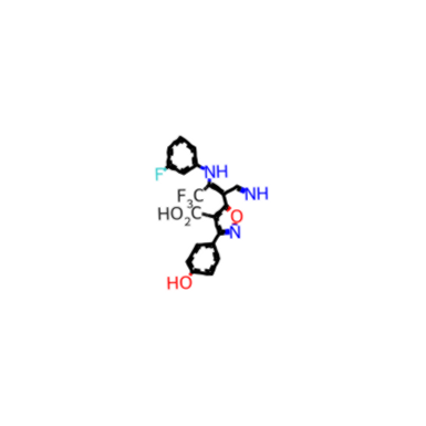 N=C/C(=C(\Nc1cccc(F)c1)C(F)(F)F)c1onc(-c2ccc(O)cc2)c1C(=O)O